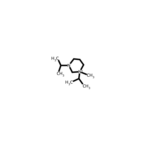 CC(C)N1CCC[N+](C)(C(C)C)C1